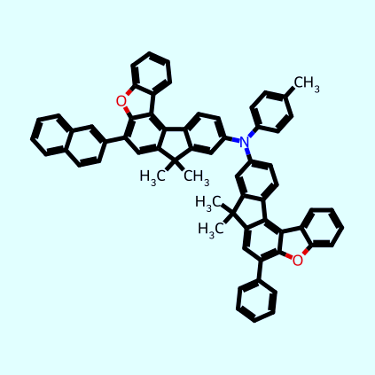 Cc1ccc(N(c2ccc3c(c2)C(C)(C)c2cc(-c4ccccc4)c4oc5ccccc5c4c2-3)c2ccc3c(c2)C(C)(C)c2cc(-c4ccc5ccccc5c4)c4oc5ccccc5c4c2-3)cc1